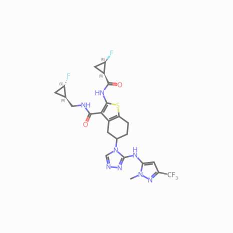 Cn1nc(C(F)(F)F)cc1Nc1nncn1C1CCc2sc(NC(=O)[C@H]3C[C@H]3F)c(C(=O)NC[C@H]3C[C@@H]3F)c2C1